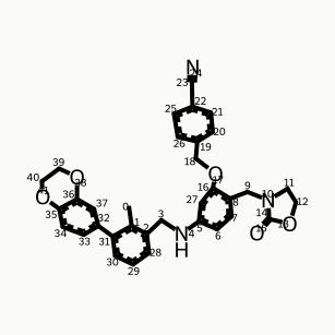 Cc1c(CNc2ccc(CN3CCOC3=O)c(OCc3ccc(C#N)cc3)c2)cccc1-c1ccc2c(c1)OCCO2